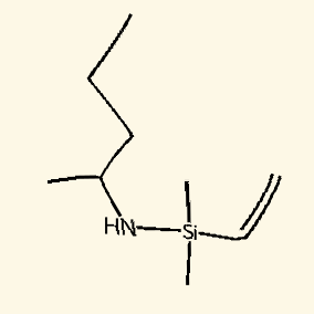 C=C[Si](C)(C)NC(C)CCC